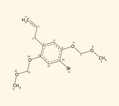 C=CCc1cc(OCOC)c(Br)cc1OCOC